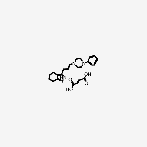 O=C(O)C=CC(=O)O.c1ccc(N2CCN(CCCc3[nH]nc4c3CCCC4)CC2)cc1